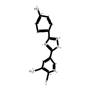 Cc1cc(-c2nc(-c3ccc(O)cc3)no2)cnc1F